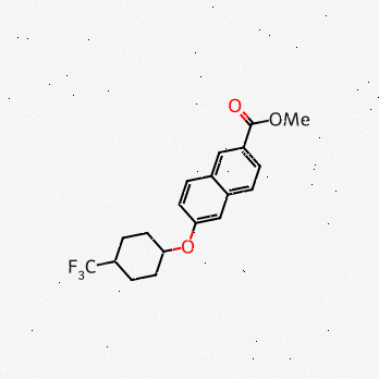 COC(=O)c1ccc2cc(OC3CCC(C(F)(F)F)CC3)ccc2c1